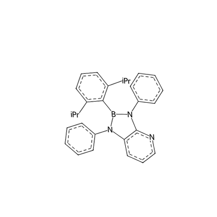 CC(C)c1cccc(C(C)C)c1B1N(c2ccccc2)c2cccnc2N1c1ccccc1